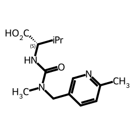 Cc1ccc(CN(C)C(=O)N[C@H](C(=O)O)C(C)C)cn1